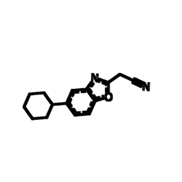 N#CCc1nc2cc(C3CCCCC3)ccc2o1